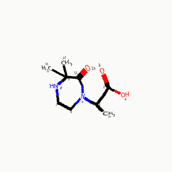 CC(C(=O)O)N1CCNC(C)(C)C1=O